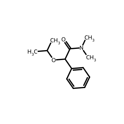 CC(C)OC(C(=O)N(C)C)c1ccccc1